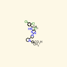 CC(Nc1nc(N2CCC(C3CCCCN3C3CC(C)(C(=O)O)C3)C2)ncc1Cl)c1ccc(Cl)cc1Cl